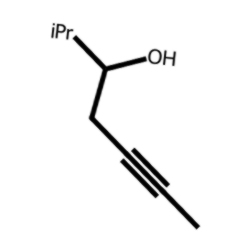 CC#CCC(O)C(C)C